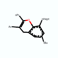 CCCCCCCc1cc(C(C)(C)C)cc2c1OC(CCC)=C(C(C)=O)C2